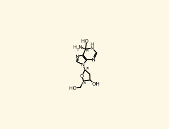 N[C@@]1(O)NC=Nc2c1ncn2[C@H]1CC(O)[C@@H](CO)O1